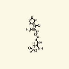 CS(=O)(=O)NC(=N)NCCOC[C@H](N)C(=O)N1CCSC1